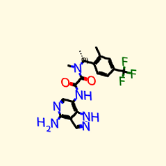 Cc1cc(C(F)(F)F)ccc1[C@@H](C)N(C)C(=O)C(=O)Nc1cnc(N)c2cn[nH]c12